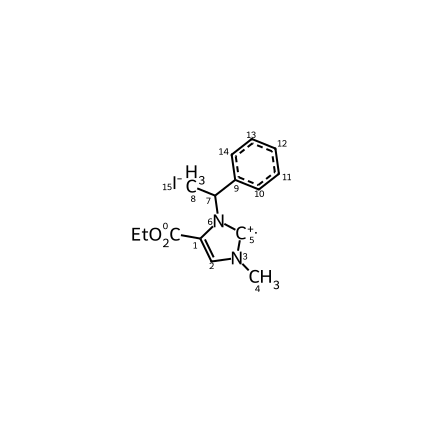 CCOC(=O)C1=CN(C)[C+]N1C(C)c1ccccc1.[I-]